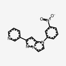 O=[N+]([O-])c1cccc(-n2ccn3nc(-c4cccnc4)cc23)c1